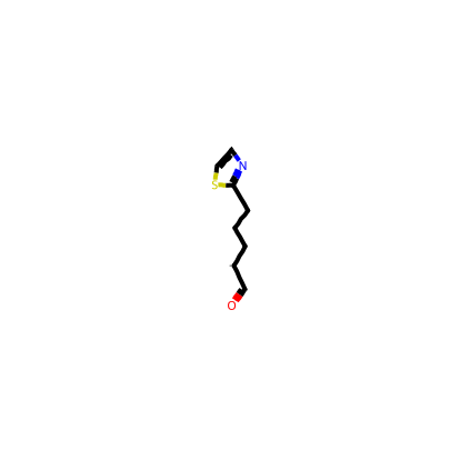 O=C[CH]CCCc1nccs1